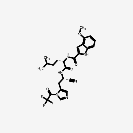 COc1cccc2[nH]c(C(=O)N[C@@H](CCC(C)C)C(=O)N[C@H](C#N)Cc3cncn3C(=O)C(F)(F)F)cc12